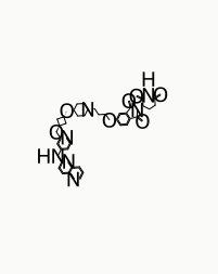 O=C1CCC(N2C(=O)c3ccc(OCCCN4CCC(O[C@H]5C[C@H](Oc6cc(Nc7ccc8ncccc8n7)ccn6)C5)CC4)cc3C2=O)C(=O)N1